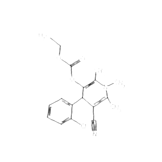 CCOC(=O)OC1=C(C)N(C)C(C)=C(C#N)C1c1ccccc1Cl